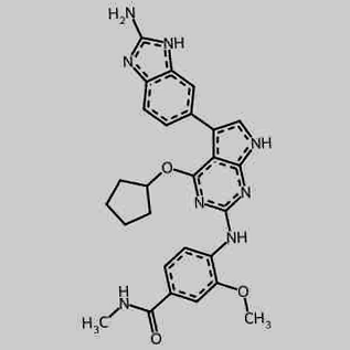 CNC(=O)c1ccc(Nc2nc(OC3CCCC3)c3c(-c4ccc5nc(N)[nH]c5c4)c[nH]c3n2)c(OC)c1